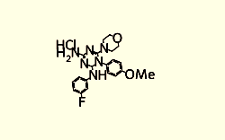 COc1ccc(N2C(N3CCOCC3)=NC(N)=NC2Nc2cccc(F)c2)cc1.Cl